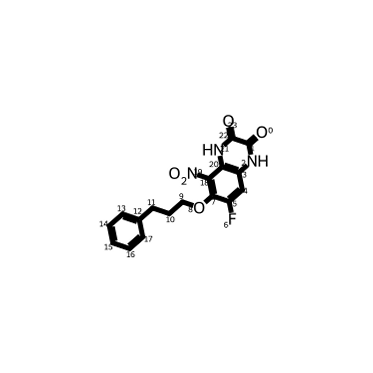 O=c1[nH]c2cc(F)c(OCCCc3ccccc3)c([N+](=O)[O-])c2[nH]c1=O